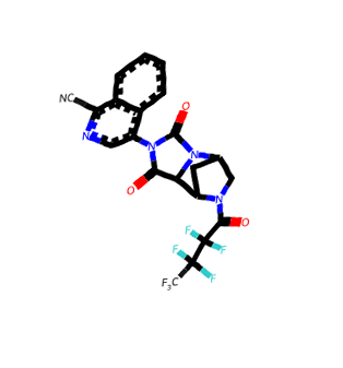 N#Cc1ncc(N2C(=O)C3C4CC(CN4C(=O)C(F)(F)C(F)(F)C(F)(F)F)N3C2=O)c2ccccc12